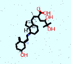 C=C1CC[C@H](O)C/C1=C/C=C1\CCC[C@]2(C)[C@@H]([C@H](C)C(CC(O)C(C)(C)O)C(=O)O)CC[C@@H]12